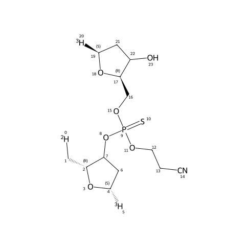 [2H]C[C@H]1O[C@@H]([3H])CC1OP(=S)(OCCC#N)OC[C@H]1O[C@@H]([3H])CC1O